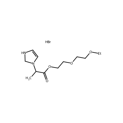 Br.CCOCCOCCOC(=O)C(C)N1C=CNC1